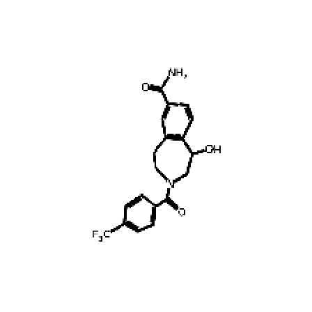 NC(=O)c1ccc2c(c1)CCN(C(=O)c1ccc(C(F)(F)F)cc1)CC2O